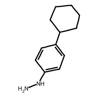 NNc1ccc(C2CCCCC2)cc1